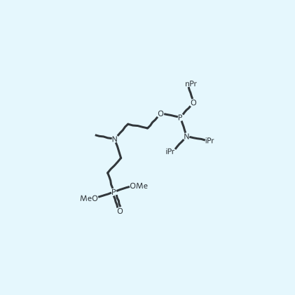 CCCOP(OCCN(C)CCP(=O)(OC)OC)N(C(C)C)C(C)C